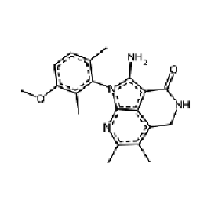 COc1ccc(C)c(-n2c(N)c3c4c(c(C)c(C)nc42)CNC3=O)c1C